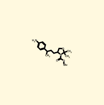 CC(CCC1COC(C)(C)N1C(=O)OC(C)(C)C)c1ccc(N)cc1